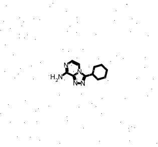 Nc1nccn2c(C3CCCCC3)nnc12